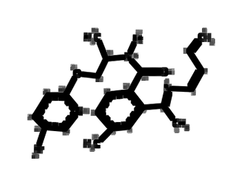 C=C/C=C\N=C(/C)c1cc(C)ccc1C(=O)N(CC)C(C)COc1ccc(Br)cn1